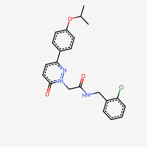 CC(C)Oc1ccc(-c2ccc(=O)n(CC(=O)NCc3ccccc3Cl)n2)cc1